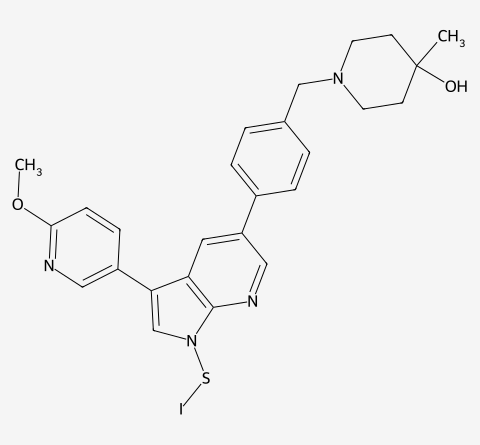 COc1ccc(-c2cn(SI)c3ncc(-c4ccc(CN5CCC(C)(O)CC5)cc4)cc23)cn1